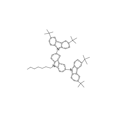 CCCCCCCn1c2ccc(-n3c4ccc(C(C)(C)C)cc4c4cc(C(C)(C)C)ccc43)cc2c2cc(-n3c4ccc(C(C)(C)C)cc4c4cc(C(C)(C)C)ccc43)ccc21